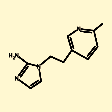 Cc1ccc(CCn2ccnc2N)cn1